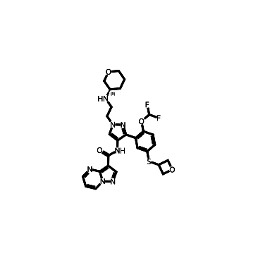 O=C(Nc1cn(CCN[C@@H]2CCCOC2)nc1-c1cc(SC2COC2)ccc1OC(F)F)c1cnn2cccnc12